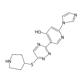 Oc1cc(-n2ccnc2)ncc1-c1ncc(SC2CCNCC2)nn1